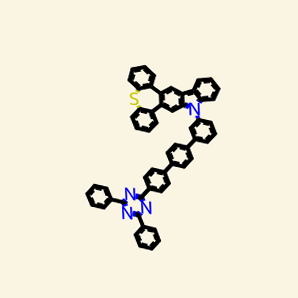 c1ccc(-c2nc(-c3ccccc3)nc(-c3ccc(-c4ccc(-c5cccc(-n6c7ccccc7c7cc8c(cc76)-c6ccccc6Sc6ccccc6-8)c5)cc4)cc3)n2)cc1